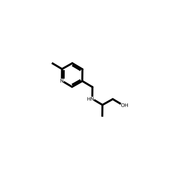 Cc1ccc(CNC(C)CO)cn1